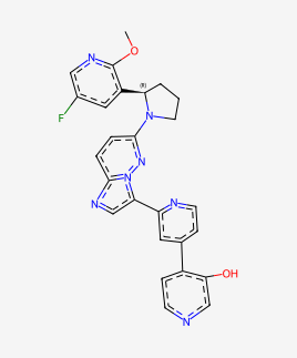 COc1ncc(F)cc1[C@H]1CCCN1c1ccc2ncc(-c3cc(-c4ccncc4O)ccn3)n2n1